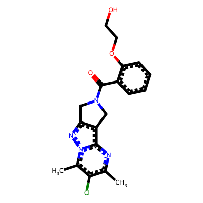 Cc1nc2c3c(nn2c(C)c1Cl)CN(C(=O)c1ccccc1OCCO)C3